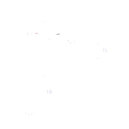 CC(=O)OC(C)/C=C\C(=O)N[C@@H]1C[C@H](C)[C@H](C/C=C(C)/C=C/[C@H]2O[C@H](CC(=O)NCc3ccc(S(=O)(=O)N(C)C)cc3)C[C@@]3(CO3)[C@@H]2O)O[C@@H]1C